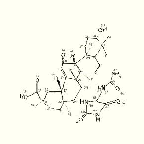 CC1(C)C2CC[C@]3(C)[C@H](C(=O)C=C4[C@H]5C[C@](C)(C(=O)O)CC[C@]5(C)CC[C@]43C)[C@@]2(C)CC[C@@H]1O.NC(=O)NC1NC(=O)NC1=O